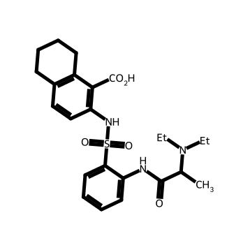 CCN(CC)C(C)C(=O)Nc1ccccc1S(=O)(=O)Nc1ccc2c(c1C(=O)O)CCCC2